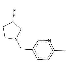 Cc1ccc(CN2CC[C@H](F)C2)cn1